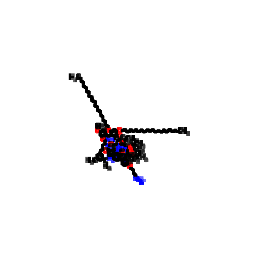 CCCCCCCCCCCCCCCCCCCCCCOc1ccc(C(NC(=O)[C@H](CCCc2cc(C)cc(C)c2)NC(=O)[C@H](Cc2ccc(-c3ccc(OCCCCN=[N+]=[N-])cc3CC)cc2)NC(=O)[C@H](CC(=O)OC(C)(C)C)NC(=O)[C@H](COC(C)(C)C)NC(=O)[C@@H](NC(=O)[C@@](C)(N)Cc2ccccc2F)[C@@H](C)OC(C)(C)C)c2ccc(OC)cc2)c(OCCCCCCCCCCCCCCCCCCCCCC)c1